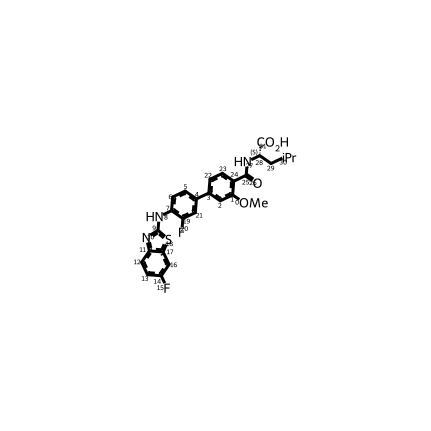 COc1cc(-c2ccc(Nc3nc4ccc(F)cc4s3)c(F)c2)ccc1C(=O)N[C@@H](CC(C)C)C(=O)O